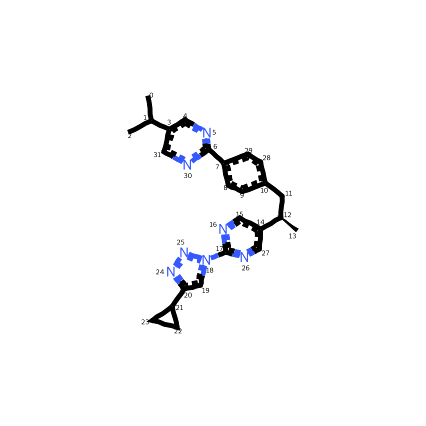 CC(C)c1cnc(-c2ccc(C[C@@H](C)c3cnc(-n4cc(C5CC5)nn4)nc3)cc2)nc1